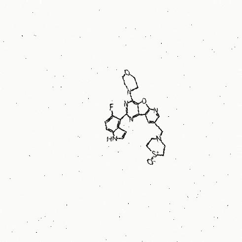 [O-][S+]1CCN(Cc2cnc3oc4c(N5CCOCC5)nc(-c5c(F)ccc6[nH]ccc56)nc4c3c2)CC1